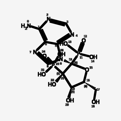 Nc1ncnc2c1ncn2[C@]1(P(=O)(O)O)O[C@H](CO)[C@@H](O)[C@]1(O)P(=O)(O)O